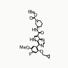 COc1cc(-c2ncnc3c(C(=O)N[C@@H]4CCCN(C(=O)OC(C)(C)C)C4)c[nH]c23)c(OCC2CC2)cc1F